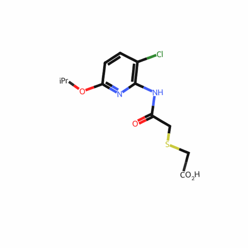 CC(C)Oc1ccc(Cl)c(NC(=O)CSCC(=O)O)n1